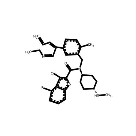 C=C/C=C(\C=N/CC)c1ccc(C)c(CN(C(=O)c2sc3cccc(F)c3c2Cl)[C@H]2CC[C@H](NC)CC2)c1